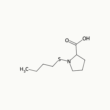 CCCCSN1CCCC1C(=O)O